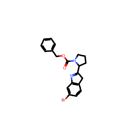 O=C(OCc1ccccc1)N1CCCC1C1=Nc2cc(Br)ccc2C1